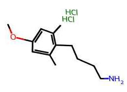 COc1cc(C)c(CCCCN)c(C)c1.Cl.Cl